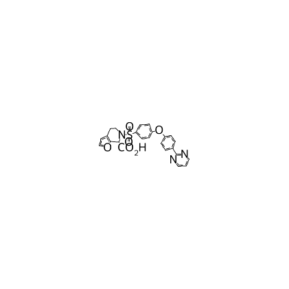 O=C(O)C1c2occc2CCN1S(=O)(=O)c1ccc(Oc2ccc(-c3ncccn3)cc2)cc1